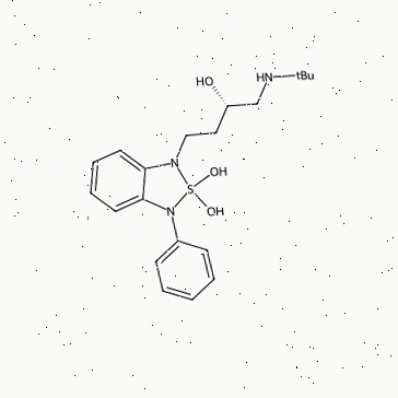 CC(C)(C)NC[C@@H](O)CCN1c2ccccc2N(c2ccccc2)S1(O)O